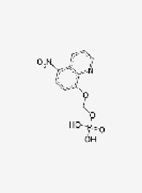 O=[N+]([O-])c1ccc(OCOP(=O)(O)O)c2ncccc12